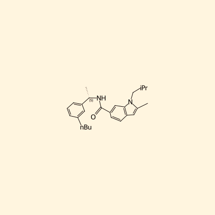 CCCCc1cccc([C@H](C)NC(=O)c2ccc3cc(C)n(CC(C)C)c3c2)c1